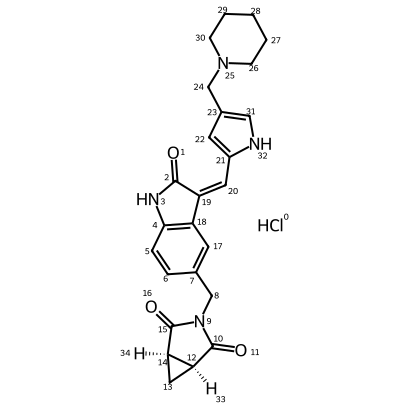 Cl.O=C1Nc2ccc(CN3C(=O)[C@H]4C[C@H]4C3=O)cc2C1=Cc1cc(CN2CCCCC2)c[nH]1